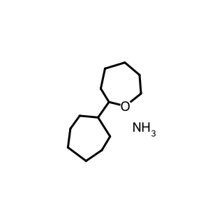 C1CCCC(C2CCCCCO2)CC1.N